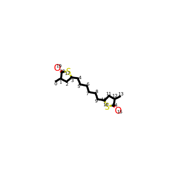 CC1CC(CCCCCCC2CC(C)C(=O)S2)SC1=O